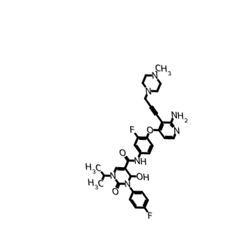 CC(C)N1C=C(C(=O)Nc2ccc(Oc3ccnc(N)c3C#CCN3CCN(C)CC3)c(F)c2)C(O)N(c2ccc(F)cc2)C1=O